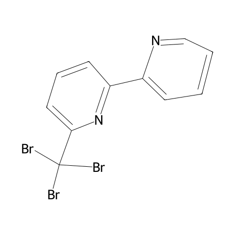 BrC(Br)(Br)c1cccc(-c2ccccn2)n1